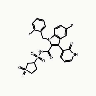 O=C(NS(=O)(=O)C1CCS(=O)(=O)C1)c1c(-c2ccc[nH]c2=O)c2cc(F)ccc2n1Cc1ccccc1F